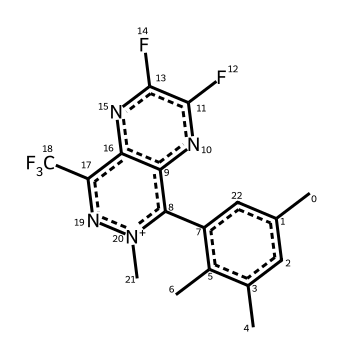 Cc1cc(C)c(C)c(-c2c3nc(F)c(F)nc3c(C(F)(F)F)n[n+]2C)c1